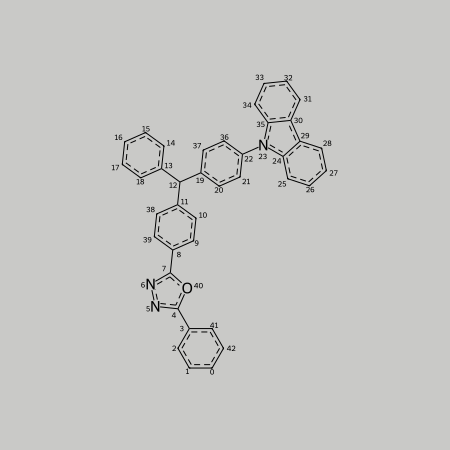 c1ccc(-c2nnc(-c3ccc(C(c4ccccc4)c4ccc(-n5c6ccccc6c6ccccc65)cc4)cc3)o2)cc1